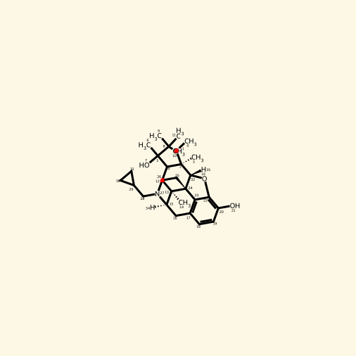 CO[C@]1(C)C(C(C)(O)C(C)(C)C)C[C@]2(C)[C@H]3Cc4ccc(O)c5c4[C@@]2(CCN3CC2CC2)[C@H]1O5